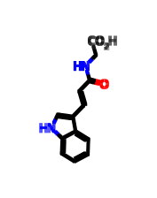 O=C(O)CNC(=O)C=Cc1c[nH]c2ccccc12